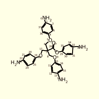 Nc1ccc(OCC(COc2ccc(N)cc2)(COc2ccc(N)cc2)C(=O)Oc2ccc(N)cc2)cc1